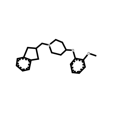 COc1ccccc1OC1CCN(CC2Cc3ccccc3C2)CC1